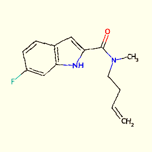 C=CCCN(C)C(=O)c1cc2ccc(F)cc2[nH]1